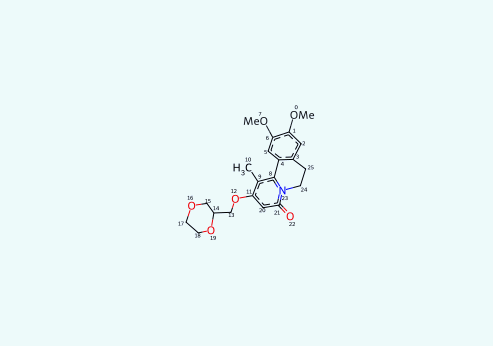 COc1cc2c(cc1OC)-c1c(C)c(OCC3COCCO3)cc(=O)n1CC2